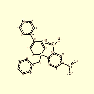 O=[N+]([O-])c1ccc([N+]2(Cc3ccccc3)C=CC(c3ccncc3)=CC2)c([N+](=O)[O-])c1